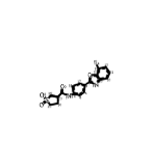 O=C(Nc1ccc(-c2nc3cccc(F)c3o2)cc1)C1CCS(=O)(=O)C1